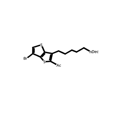 CCCCCCCCCCCCCCCc1c(C(C)=O)sc2c(Br)csc12